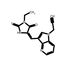 C#CCn1cc(C=C2NC(=S)N(CC)C2=O)c2ncccc21